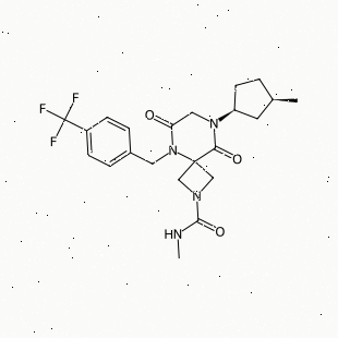 CNC(=O)N1CC2(C1)C(=O)N([C@H]1CC[C@@H](C)C1)CC(=O)N2Cc1ccc(C(F)(F)F)cc1